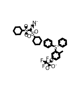 Cc1ccccc1[S+](c1ccccc1)c1ccccc1.O=S(=O)([O-])C(F)(F)F.[N-]=[N+]=C(S(=O)(=O)C1CCCCC1)S(=O)(=O)C1CCCCC1